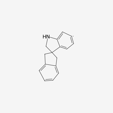 [c]1ccc2c(c1)NCC21Cc2ccccc2C1